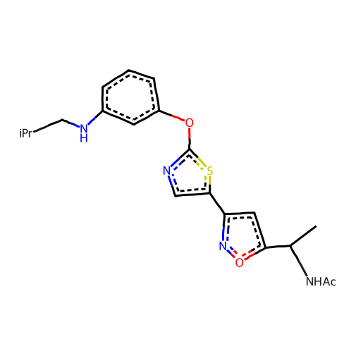 CC(=O)NC(C)c1cc(-c2cnc(Oc3cccc(NCC(C)C)c3)s2)no1